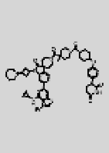 CC(C)n1cnc2cc(-c3ccc4c(c3)N(C3CC(N5CCCCC5)C3)C(=O)C43CCN(C(=O)C4(C)CCN(C(=O)C5CCC(Oc6ccc(C7CCC(=O)NC7=O)cn6)CC5)CC4)CC3)nc(NC3CC3)c21